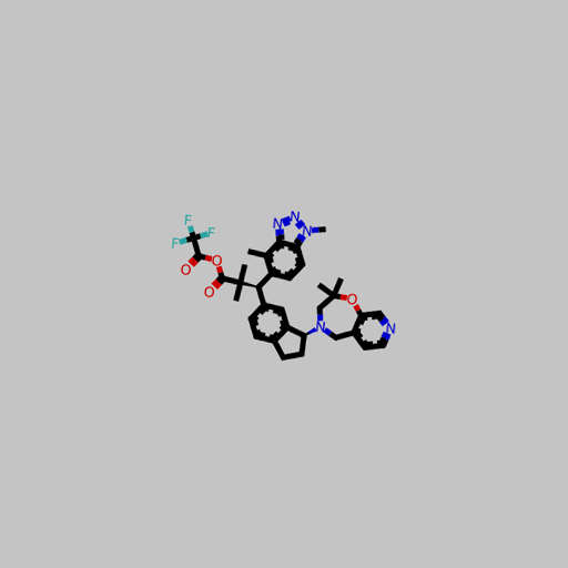 Cc1c([C@@H](c2ccc3c(c2)[C@@H](N2Cc4ccncc4OC(C)(C)C2)CC3)C(C)(C)C(=O)OC(=O)C(F)(F)F)ccc2c1nnn2C